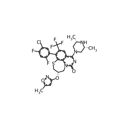 Cc1cc(O[C@@H]2CSc3c(-c4cc(Cl)c(F)cc4F)c(C(F)(F)F)cc4c(N5C[C@@H](C)N[C@@H](C)C5)nc(=O)n(c34)C2)no1